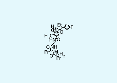 CCC(C(=O)Nc1sc(C(=O)NCCNC(=O)C(NC(=O)C(N)C(C)C)C(C)C)c(C)c1C)c1ccc(F)cc1